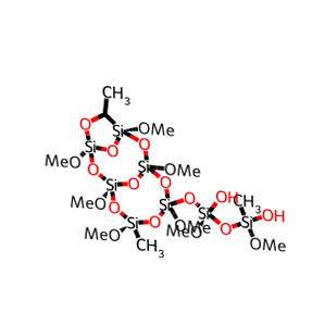 CO[Si](C)(O)O[Si@](O)(OC)O[Si]1(OC)O[Si]2(OC)O[Si@@](OC)(O[Si]3(OC)OC(C)[Si@@](OC)(O3)O2)O[Si@](C)(OC)O1